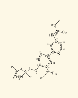 C=C(C)CC(C)(N)COc1ccc(-c2ccnc(NC(=O)OC)c2)nc1C(F)F